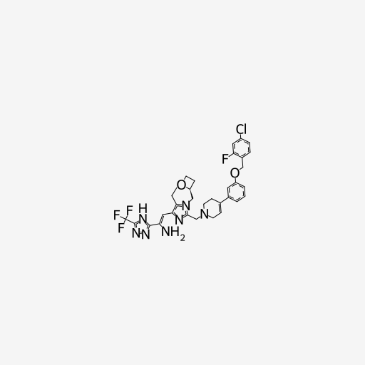 CCc1c(/C=C(\N)c2nnc(C(F)(F)F)[nH]2)nc(CN2CC=C(c3cccc(OCc4ccc(Cl)cc4F)c3)CC2)n1C[C@@H]1CCO1